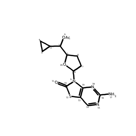 CC(=O)OC(C1CC1)C1CCC(n2c(=O)sc3cnc(N)nc32)O1